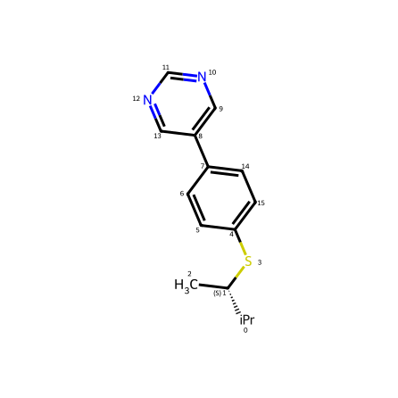 CC(C)[C@H](C)Sc1ccc(-c2cncnc2)cc1